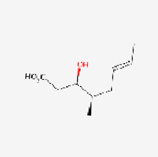 C/C=C/C[C@@H](C)[C@H](O)CC(=O)O